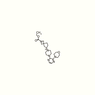 CCOC(=O)N1CC2(CC[C@@H](N3CCN(c4nccnc4N4CCOCC4)CC3)C2)C1